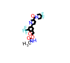 CNC(=O)Oc1cc2cc(-c3ccc(C(=O)N4CCC(F)(F)CC4)cn3)cc(C(F)(F)F)c2o1